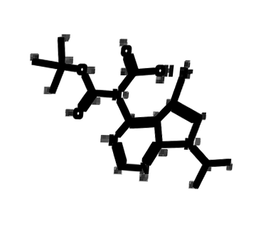 CC(C)n1cc(Br)c2c(N(C(=O)O)C(=O)OC(C)(C)C)ncnc21